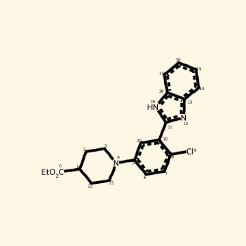 CCOC(=O)C1CCN(c2ccc(Cl)c(-c3nc4ccccc4[nH]3)c2)CC1